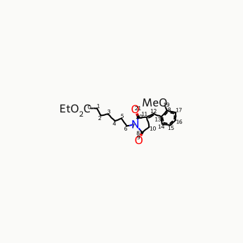 CCOC(=O)CCCCCCN1C(=O)C/C(=C\c2ccccc2OC)C1=O